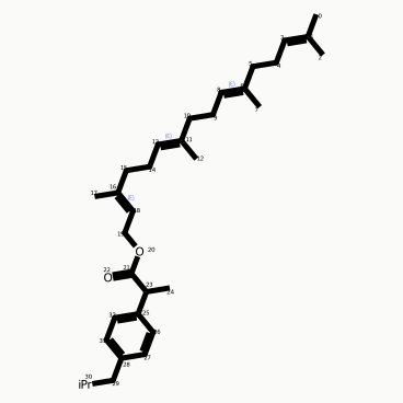 CC(C)=CCC/C(C)=C/CC/C(C)=C/CC/C(C)=C/COC(=O)C(C)c1ccc(CC(C)C)cc1